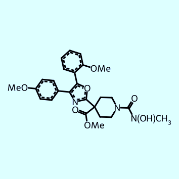 COC(=O)C1(c2nc(-c3ccc(OC)cc3)c(-c3ccccc3OC)o2)CCN(C(=O)N(C)O)CC1